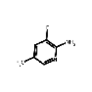 Nc1ncc(C(F)(F)F)cc1F